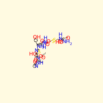 CCCC(=O)OCN(C(=O)[C@@H](NC(=O)[C@H]1CCCCN1C)C(C)CC)[C@H](C[C@@H](O)c1nc(CN[C@@H](Cc2ccc(O)cc2)C[C@H](C)C(=O)NNC(=O)OCCSSCCC(=O)N[C@@H](CCC=O)C(N)O)cs1)C(C)C